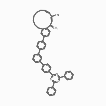 C=C1/C=C(C#N)\C=C/CCCCCCc2cc(-c3ccc(-c4cccc(-c5ccc(-c6nc(-c7ccccc7)nc(-c7ccccc7)n6)cc5)c4)cc3)ccc21